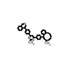 C=C1/C=C\C=C/Cc2ccccc2/C(c2ccc(-c3cc(-c4ccc(-c5cncc6ccccc56)cc4)nc(C)n3)cc2)=C\1